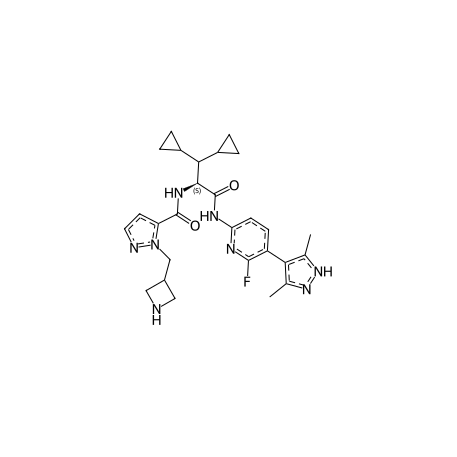 Cc1n[nH]c(C)c1-c1ccc(NC(=O)[C@@H](NC(=O)c2ccnn2CC2CNC2)C(C2CC2)C2CC2)nc1F